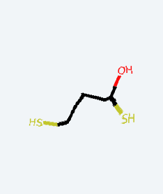 OC(S)CCS